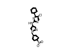 O=[N+]([O-])c1ccc(Cn2cc(Nc3ncc(Cl)c(-c4ccccc4)n3)cn2)cc1